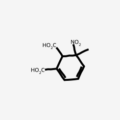 CC1([N+](=O)[O-])C=CC=C(C(=O)O)C1C(=O)O